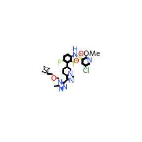 COc1ncc(Cl)cc1S(=O)(=O)Nc1ccc(F)c(C2CCc3c(-c4nnc(C)n4COCC[Si](C)(C)C)ncn3C2)c1F